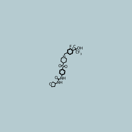 O=C(Nc1ccc(S(=O)(=O)C2CCN(Cc3ccc(C(O)(C(F)(F)F)C(F)(F)F)cc3)CC2)cc1)NC1CCOC1